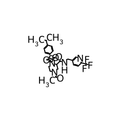 CC(=O)N1CCN(S(=O)(=O)c2ccc(C(C)C)cc2)C(C(=O)NCc2ccc(C(F)(F)F)nc2)C1